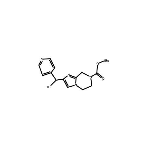 CC(C)(C)OC(=O)N1CCn2cc(C(O)c3ccncc3)nc2C1